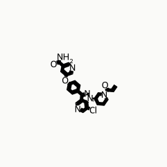 C=CC(=O)N1CCC[C@@H](n2nc(-c3ccc(Oc4cncc(C(N)=O)c4)cc3)c3cncc(Cl)c32)C1